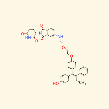 CCC(=C(c1ccc(O)cc1)c1ccc(OCCOCCNc2ccc3c(c2)C(=O)N(C2CCC(=O)NC2=O)C3=O)cc1)c1ccccc1